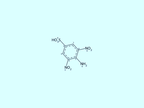 Nc1c([N+](=O)[O-])cc(S(=O)(=O)O)cc1[N+](=O)[O-]